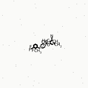 C=N/C=C(OC(=O)N1CCN(Cc2cccc(C(F)(F)F)c2C)C[C@H]1C)\C(C)=C(/C)C#N